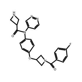 O=C(c1ccc(F)cc1)N1CC(Oc2ccc(N(C(=O)C3CNC3)c3ccnnc3)cc2)C1